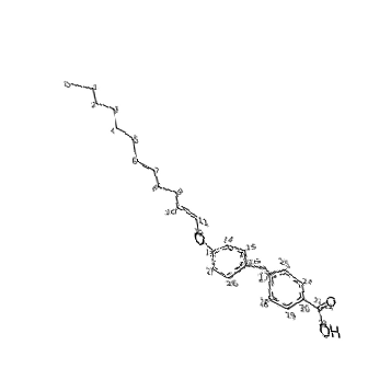 CCCCCCCCCCC=COc1ccc(-c2ccc(C(=O)O)cc2)cc1